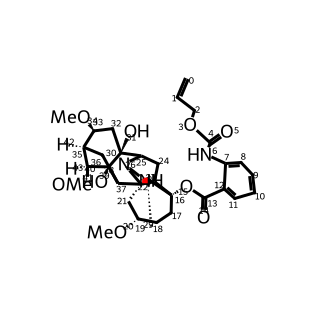 C=CCOC(=O)Nc1ccccc1C(=O)O[C@@]12CC[C@H](OC)C[C@@]34C1CC(N3N[C@H]2C)[C@@]1(O)C[C@H](OC)[C@H]2CC4[C@]1(O)[C@H]2OC